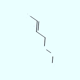 CC(C)(C)OOC/C=C/[N+](=O)[O-]